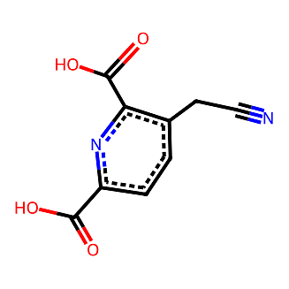 N#CCc1ccc(C(=O)O)nc1C(=O)O